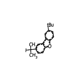 CC(C)(C)c1ccc2oc3ccc(C(C)(C)I)cc3c2c1